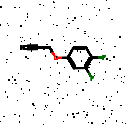 C#CCOc1[c]cc(F)c(F)c1